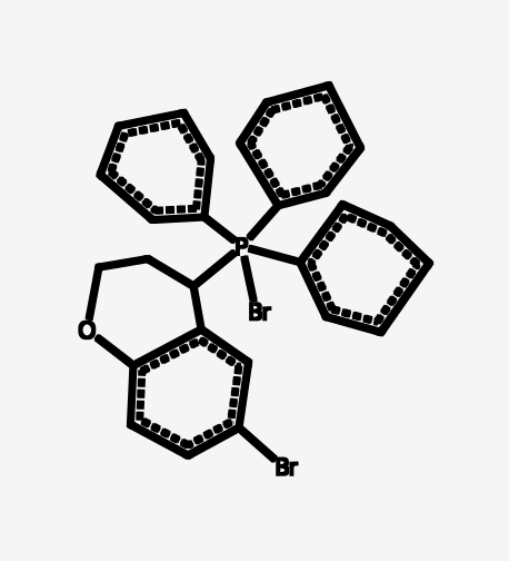 Brc1ccc2c(c1)C(P(Br)(c1ccccc1)(c1ccccc1)c1ccccc1)CCO2